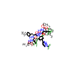 COC(=O)NC(C(=O)N[C@@H](Cc1ccc(C)cc1)[C@@H](O)CN(NC(=O)[C@@H](NC(=O)OC)C(C)(C)C(F)(F)F)c1c(F)cc(-c2ccn(C(F)F)n2)cc1F)C(C)(C)C(F)(F)F